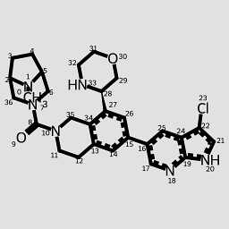 CN1C2CCC1CN(C(=O)N1CCc3cc(-c4cnc5[nH]cc(Cl)c5c4)cc([C@@H]4COCCN4)c3C1)C2